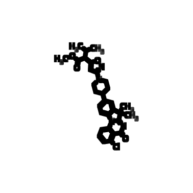 COC(=O)C(c1cc(N2CCC(c3ccc4c(c3)C(C)(C)c3nc(=O)c5c(Cl)cccc5n3-4)CC2)no1)C(C)C